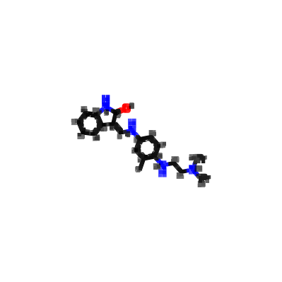 Cc1cc(NC=C2C(=O)Nc3ccccc32)ccc1NCCN(C(C)C)C(C)C